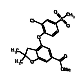 COC(=O)c1cc(Oc2ccc(S(C)(=O)=O)cc2Cl)c2c(c1)OC(C)(C)C2